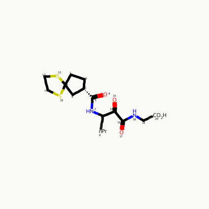 CCCC(NC(=O)[C@H]1CCC2(C1)SCCS2)C(=O)C(=O)NCC(=O)O